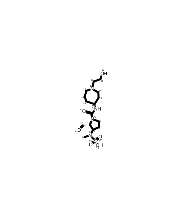 CN(C1CCN(C(=O)N[C@H]2CCCN(CCO)CC2)[C@@H]1C=O)S(=O)(=O)O